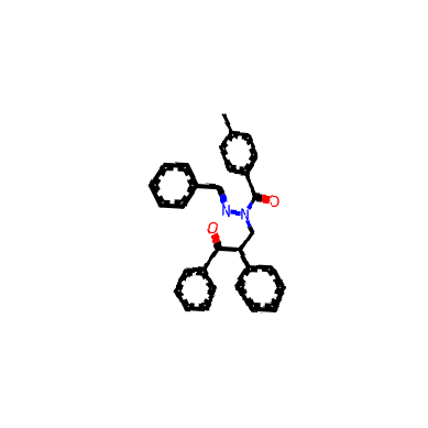 Cc1ccc(C(=O)N(CC(C(=O)c2ccccc2)c2ccccc2)N=Cc2ccccc2)cc1